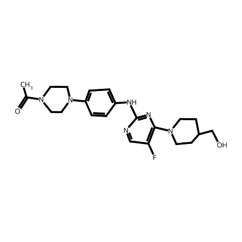 CC(=O)N1CCN(c2ccc(Nc3ncc(F)c(N4CCC(CO)CC4)n3)cc2)CC1